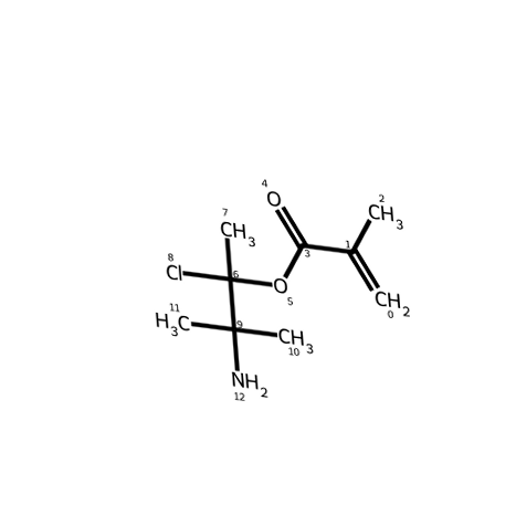 C=C(C)C(=O)OC(C)(Cl)C(C)(C)N